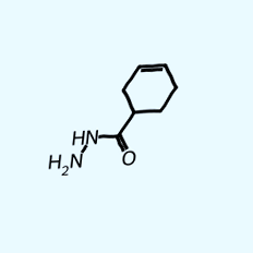 NNC(=O)C1CC=CCC1